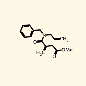 C=CCN(Cc1ccccc1)C(=O)C(=C)CC(=O)OC